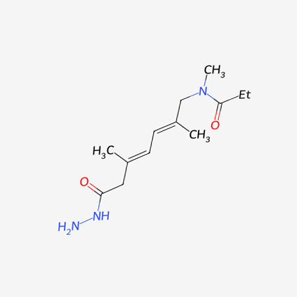 CCC(=O)N(C)C/C(C)=C/C=C(\C)CC(=O)NN